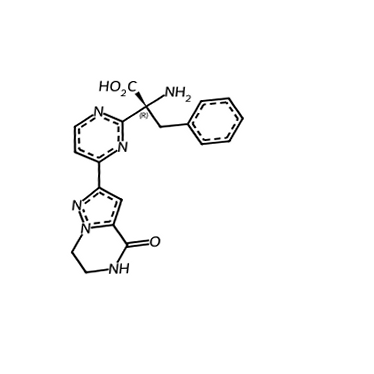 N[C@@](Cc1ccccc1)(C(=O)O)c1nccc(-c2cc3n(n2)CCNC3=O)n1